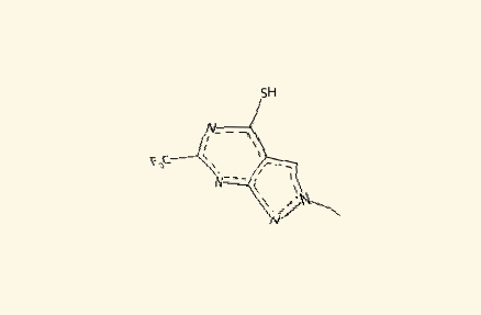 Cn1cc2c(S)nc(C(F)(F)F)nc2n1